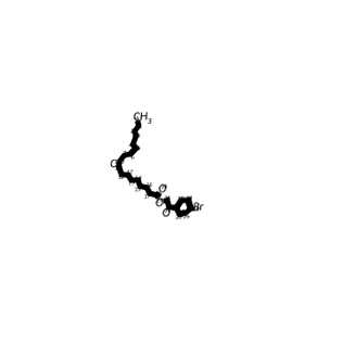 CCCCC/C=C\CC1OC1CCCCCCCC(=O)OCC(=O)c1ccc(Br)cc1